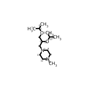 CC(C)OCC(CN1CCN(C)CC1)OC(C)C